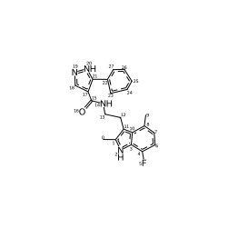 Cc1[nH]c2c(F)ccc(C)c2c1CCNC(=O)c1cn[nH]c1-c1ccccc1